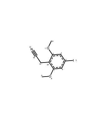 COc1cc(I)cc(OC)c1CC#N